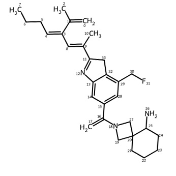 C=C(C)C(=C\CCC)/C=C(\C)C1=Nc2cc(C(=C)N3CC4(CCCCC4N)C3)cc(CF)c2C1